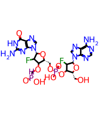 Nc1nc2c(ncn2[C@@H]2O[C@H](COP(=O)(O)OC3C(F)[C@H](n4cnc5c(N)ncnc54)O[C@@H]3CO)C(OC[PH](=O)O)C2F)c(=O)[nH]1